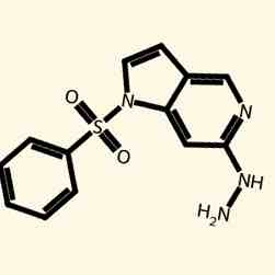 NNc1cc2c(ccn2S(=O)(=O)c2ccccc2)cn1